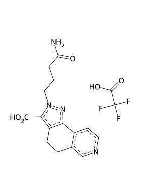 NC(=O)CCCn1nc2c(c1C(=O)O)CCc1cnccc1-2.O=C(O)C(F)(F)F